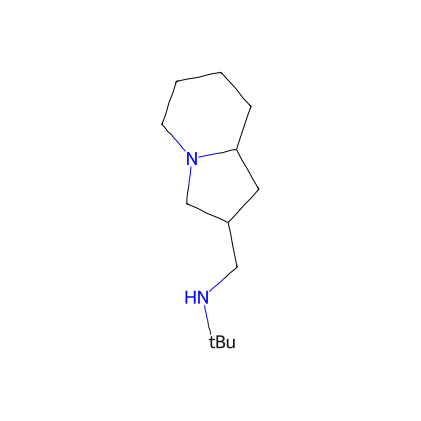 CC(C)(C)NCC1CC2CCCCN2C1